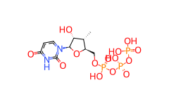 C[C@H]1[C@@H](O)[C@H](n2ccc(=O)[nH]c2=O)O[C@@H]1COP(=O)(O)OP(=O)(O)OP(=O)(O)O